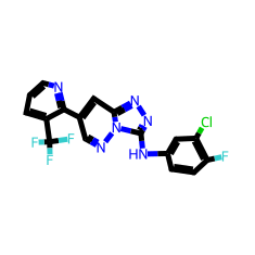 Fc1ccc(Nc2nnc3cc(-c4ncccc4C(F)(F)F)cnn23)cc1Cl